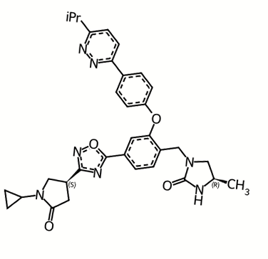 CC(C)c1ccc(-c2ccc(Oc3cc(-c4nc([C@H]5CC(=O)N(C6CC6)C5)no4)ccc3CN3C[C@@H](C)NC3=O)cc2)nn1